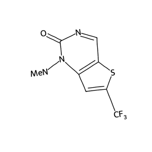 CNn1c(=O)ncc2sc(C(F)(F)F)cc21